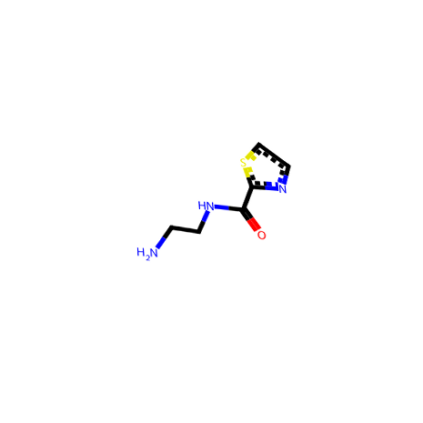 NCCNC(=O)c1nccs1